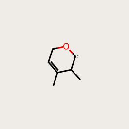 CC1=CCO[C]C1C